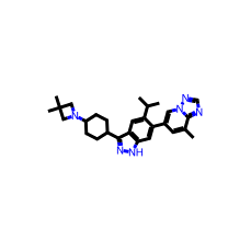 Cc1cc(-c2cc3[nH]nc(C4CCC(N5CC(C)(C)C5)CC4)c3cc2C(C)C)cn2ncnc12